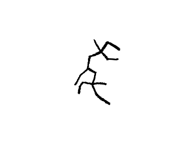 CCC(CC(C)(CC)CC)CC(C)(CC)CC